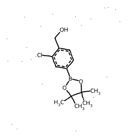 CC1(C)OB(c2ccc(CO)c(Cl)c2)OC1(C)C